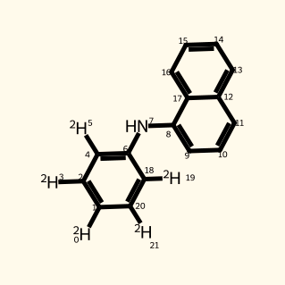 [2H]c1c([2H])c([2H])c(Nc2cccc3ccccc23)c([2H])c1[2H]